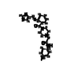 O=C(CN1CCN(C(=O)c2ccccc2SCc2cscn2)CC1)Nc1ccc(F)cc1